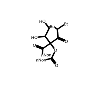 CCCCCCCCCC(=O)OC(C(=O)CCCCCCCCC)(C(=O)C(CC)CCCC)C(O)CO